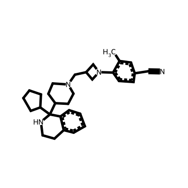 Cc1cc(C#N)ccc1N1CC(CN2CCC(C3(C4CCCC4)NCCc4ccccc43)CC2)C1